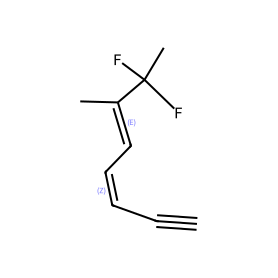 C#C/C=C\C=C(/C)C(C)(F)F